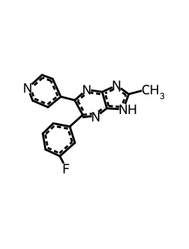 Cc1nc2nc(-c3ccncc3)c(-c3cccc(F)c3)nc2[nH]1